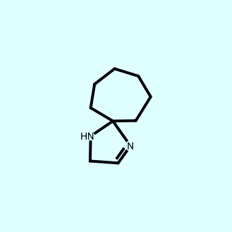 C1=NC2(CCCCCC2)NC1